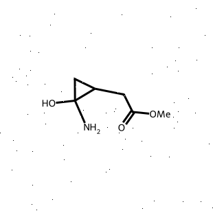 COC(=O)CC1CC1(N)O